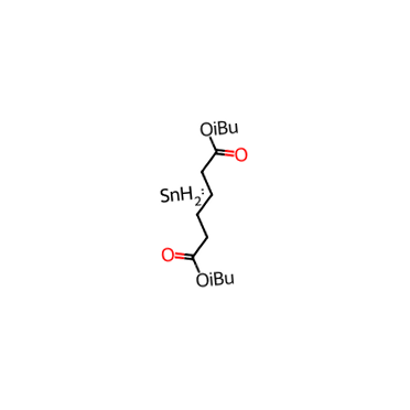 CC(C)COC(=O)CCCCC(=O)OCC(C)C.[SnH2]